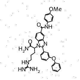 COc1ccc(NC(=O)c2ccc3c(c2)nc(-c2cccc(Oc4ccccc4)c2)n3C(CCCNC(=N)N)C(N)=O)cc1